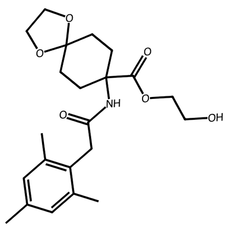 Cc1cc(C)c(CC(=O)NC2(C(=O)OCCO)CCC3(CC2)OCCO3)c(C)c1